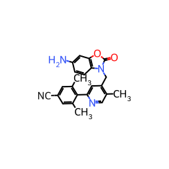 Cc1cnc(-c2c(C)cc(C#N)cc2C)cc1Cn1c(=O)oc2cc(N)ccc21